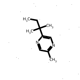 CCC(C)(C)c1cnc(C)cn1